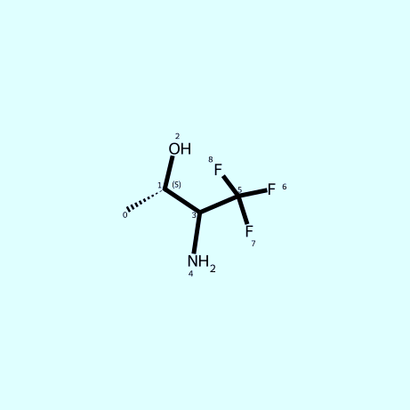 C[C@H](O)C(N)C(F)(F)F